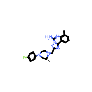 Cc1cccc2c1nc(N)n1nc(CN3CCN(c4ccc(F)cc4)C[C@H]3C)nc21